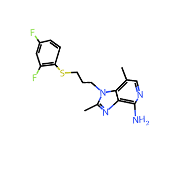 Cc1cnc(N)c2nc(C)n(CCCSc3ccc(F)cc3F)c12